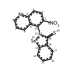 O=[N+]([O-])c1ccc2ncccc2c1-n1[se]c2ccccc2c1=S